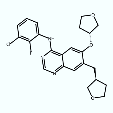 Fc1c(Cl)cccc1Nc1ncnc2cc(C[C@H]3CCOC3)c(O[C@@H]3CCOC3)cc12